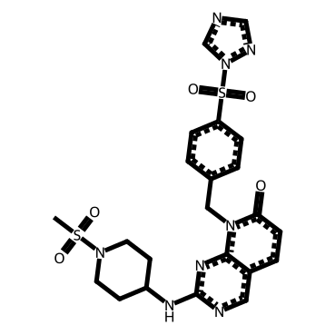 CS(=O)(=O)N1CCC(Nc2ncc3ccc(=O)n(Cc4ccc(S(=O)(=O)n5cncn5)cc4)c3n2)CC1